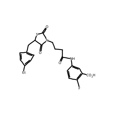 CCc1ccc(CC2SC(=O)N(CCCC(=O)Nc3ccc(F)c(C(=O)O)c3)C2=O)cc1